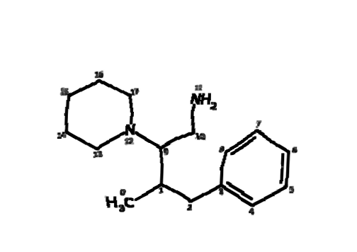 CC(Cc1ccccc1)C(CN)N1CCCCC1